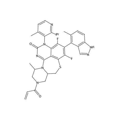 C=CC(=O)N1CC(C)N2c3nc(=O)n(-c4c(C)ccnc4C(C)C)c4c(F)c(-c5c(C)ccc6[nH]ncc56)c(F)c(c34)SCC2C1